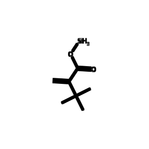 C=C(C(=O)O[SiH3])C(C)(C)C